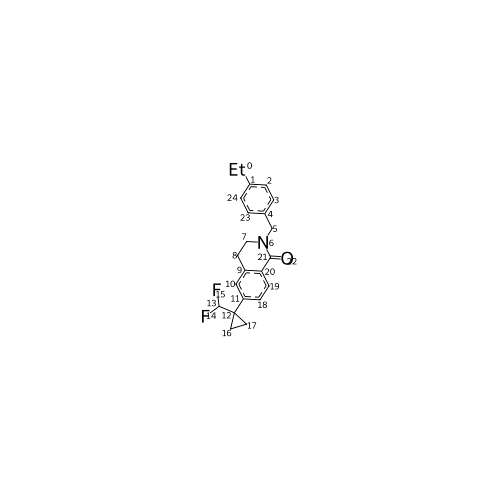 CCc1ccc(CN2CCc3cc(C4(C(F)F)CC4)ccc3C2=O)cc1